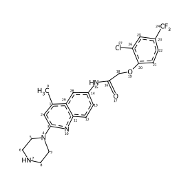 Cc1cc(N2CCNCC2)nc2ccc(NC(=O)COc3ccc(C(F)(F)F)cc3Cl)cc12